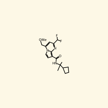 COCc1cc(C(F)F)nc2c(C(=O)NC(C)(C)C3CCC3)ccn12